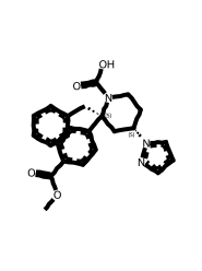 COC(=O)c1ccc([C@]2(Cc3ccccc3)C[C@@H](n3cccn3)CCN2C(=O)O)cc1